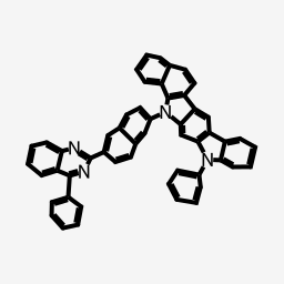 c1ccc(-c2nc(-c3ccc4cc(-n5c6cc7c(cc6c6ccc8ccccc8c65)c5ccccc5n7-c5ccccc5)ccc4c3)nc3ccccc23)cc1